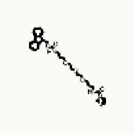 O=C(NCCCOCCOCCOCCCNC(=O)n1ccnc1)OCC1c2ccccc2-c2ccccc21